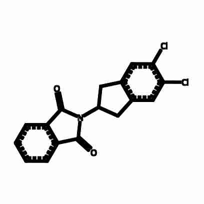 O=C1c2ccccc2C(=O)N1C1Cc2cc(Cl)c(Cl)cc2C1